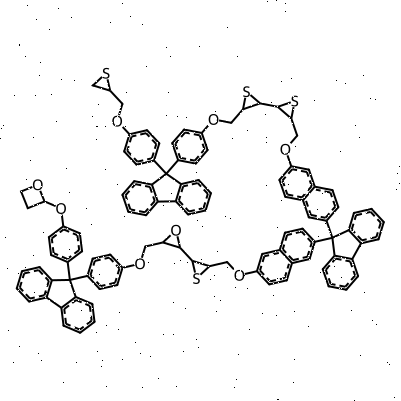 c1ccc2c(c1)-c1ccccc1C2(c1ccc(OCC2CS2)cc1)c1ccc(OCC2SC2C2SC2COc2ccc3cc(C4(c5ccc6cc(OCC7SC7C7OC7COc7ccc(C8(c9ccc(OC%10CCO%10)cc9)c9ccccc9-c9ccccc98)cc7)ccc6c5)c5ccccc5-c5ccccc54)ccc3c2)cc1